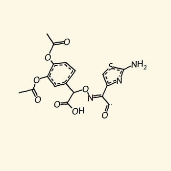 CC(=O)Oc1ccc(C(O/N=C(/[C]=O)c2csc(N)n2)C(=O)O)cc1OC(C)=O